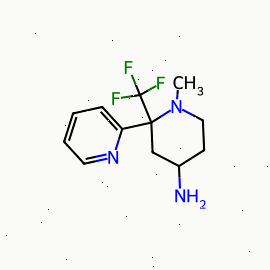 CN1CCC(N)CC1(c1ccccn1)C(F)(F)F